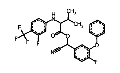 CC(C)C(Nc1ccc(C(F)(F)F)c(F)c1)C(=O)OC(C#N)c1ccc(F)c(Oc2ccccc2)c1